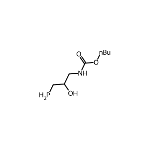 CCCCOC(=O)NCC(O)CP